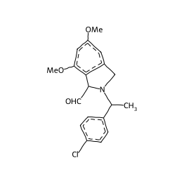 COc1cc2c(c(OC)c1)C(C=O)N(C(C)c1ccc(Cl)cc1)C2